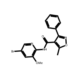 COc1cc(Br)cnc1NC(=O)c1c(-c2ccccc2)noc1C